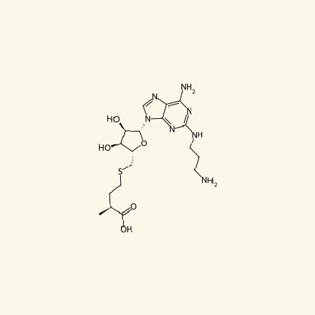 C[C@@H](CCSC[C@H]1O[C@@H](n2cnc3c(N)nc(NCCCN)nc32)[C@H](O)[C@@H]1O)C(=O)O